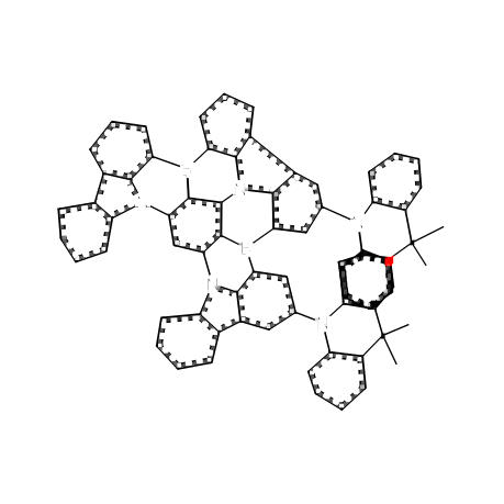 CC1(C)c2ccccc2N(c2cc3c4c(c2)c2ccccc2n4-c2cc4c5c6c2B3c2cc(N3c7ccccc7C(C)(C)c7ccccc73)cc3c7cccc(c7n-6c23)B5c2cccc3c5ccccc5n-4c23)c2ccccc21